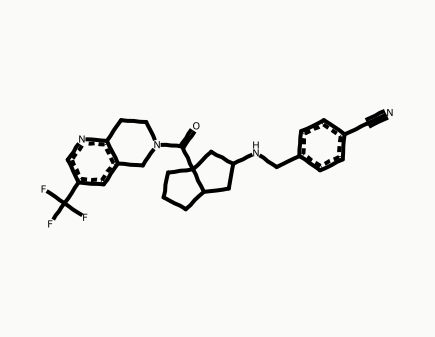 N#Cc1ccc(CNC2CC3CCCC3(C(=O)N3CCc4ncc(C(F)(F)F)cc4C3)C2)cc1